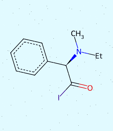 CCN(C)[C@@H](C(=O)I)c1ccccc1